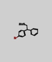 CNCC(c1ccccc1)c1ccc(Br)cc1